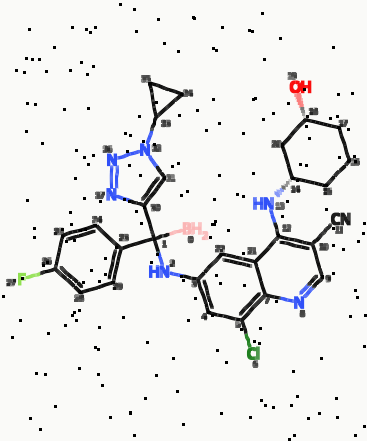 BC(Nc1cc(Cl)c2ncc(C#N)c(N[C@H]3CCC[C@@H](O)C3)c2c1)(c1ccc(F)cc1)c1cn(C2CC2)nn1